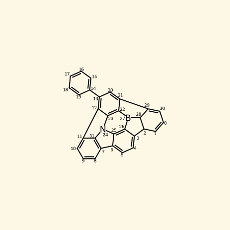 C1=CC2c3ccc4c5cccc6c7c(-c8ccccc8)cc8c9c7n(c4c3B9C2C8=C1)c56